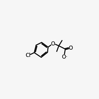 CC(C)(Oc1ccc(Cl)cc1)C([O])=O